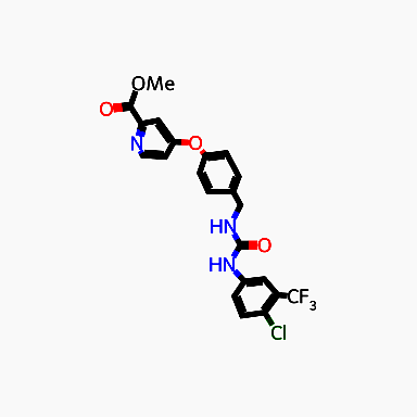 COC(=O)c1cc(Oc2ccc(CNC(=O)Nc3ccc(Cl)c(C(F)(F)F)c3)cc2)ccn1